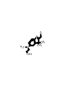 CN(CCO)c1ccc2c(c1)C(C)(C)C(C=O)=N2